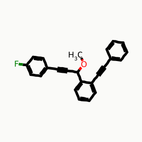 COC(C#Cc1ccc(F)cc1)c1ccccc1C#Cc1ccccc1